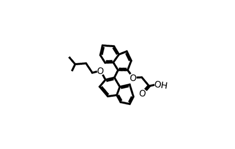 CC(C)CCOc1ccc2ccccc2c1-c1c(OCC(=O)O)ccc2ccccc12